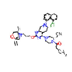 C=CC(=O)N1CCN(c2nc(OCCCN3C[C@@H]4C[C@H]3CO4)nc3c2CCN(c2cccc4cccc(Cl)c24)C3)C[C@@H]1CC#N